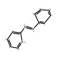 [c]1ccc(/N=N/c2ccccn2)cc1